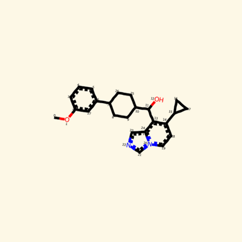 COc1cccc(C2CCC(C(O)c3c(C4CC4)ccn4cncc34)CC2)c1